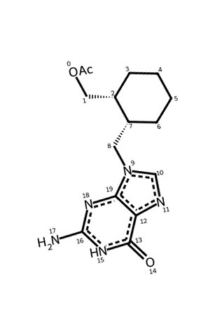 CC(=O)OC[C@@H]1CCCC[C@@H]1Cn1cnc2c(=O)[nH]c(N)nc21